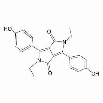 CCN1C(=O)C2=C(c3ccc(O)cc3)N(CC)C(=O)C2=C1c1ccc(O)cc1